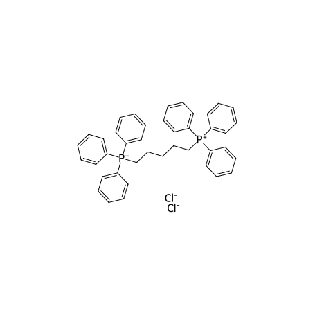 [Cl-].[Cl-].c1ccc([P+](CCCCC[P+](c2ccccc2)(c2ccccc2)c2ccccc2)(c2ccccc2)c2ccccc2)cc1